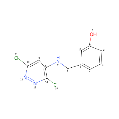 Oc1cccc(CNc2cc(Cl)nnc2Cl)c1